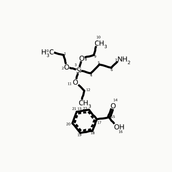 CCO[Si](CCCN)(OCC)OCC.O=C(O)c1ccccc1